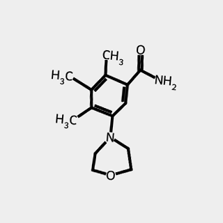 Cc1c(C(N)=O)cc(N2CCOCC2)c(C)c1C